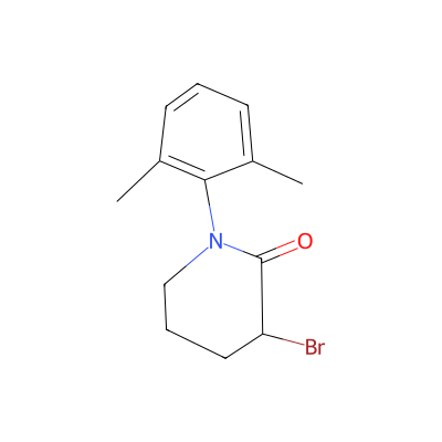 Cc1cccc(C)c1N1CCCC(Br)C1=O